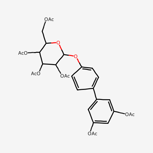 CC(=O)OCC1OC(Oc2ccc(-c3cc(OC(C)=O)cc(OC(C)=O)c3)cc2)C(OC(C)=O)C(OC(C)=O)C1OC(C)=O